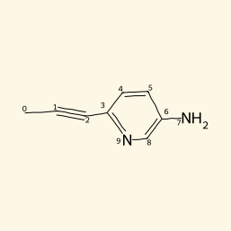 CC#Cc1ccc(N)cn1